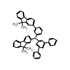 CC1(C)c2ccccc2-c2ccc(-c3cccc(N(c4cc(-c5ccccc5)cc(-c5ccccc5)c4)c4ccc5c(c4)C(C)(C)c4ccccc4-5)c3)cc21